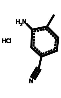 Cc1ccc(C#N)cc1N.Cl